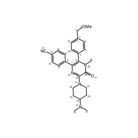 COCc1ccc(-c2c(-c3ccc(C#N)cc3)nc(N3CCC(N(C)C)CC3)c(=O)n2C)cc1